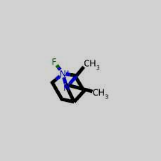 CC1C2CC[N+](F)(CC2)N1C